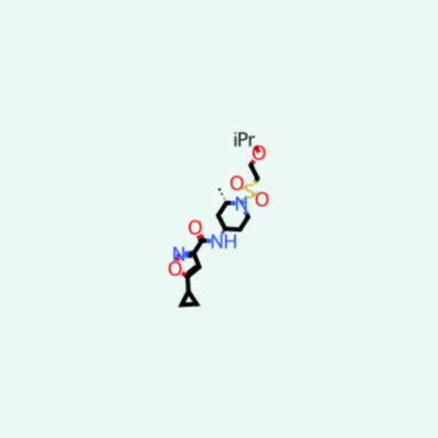 CC(C)OCCS(=O)(=O)N1CC[C@@H](NC(=O)c2cc(C3CC3)on2)C[C@@H]1C